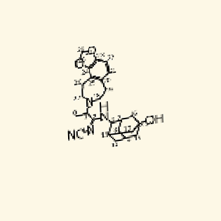 CC(/C(=N\C#N)NC1C2CC3CC1CC(O)(C3)C2)N1CCc2ccc3c(c2CC1)OCO3